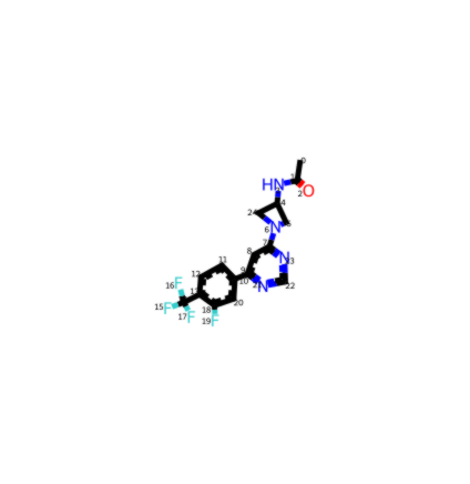 CC(=O)NC1CN(c2cc(-c3ccc(C(F)(F)F)c(F)c3)ncn2)C1